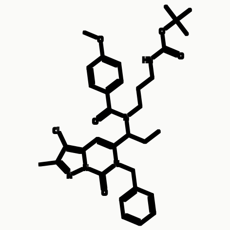 CCC(c1cc2c(Cl)c(C)nn2c(=O)n1Cc1ccccc1)N(CCCNC(=O)OC(C)(C)C)C(=O)c1ccc(OC)cc1